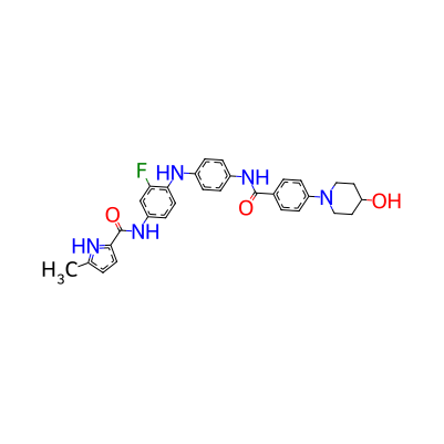 Cc1ccc(C(=O)Nc2ccc(Nc3ccc(NC(=O)c4ccc(N5CCC(O)CC5)cc4)cc3)c(F)c2)[nH]1